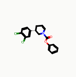 O=C(Oc1ccccc1)N1C=CC[C@@H](c2ccc(Cl)c(Cl)c2)C1